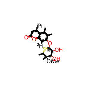 [2H]c1c(O[C@@H]2SC(C)[C@@](C)(OC)[C@H](O)[C@H]2O)c(C)c(C)c2c(C(C)C)cc(=O)oc12